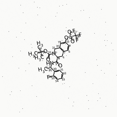 C[C@@H](NC(=O)[C@@H]1Cc2ccc(OS(=O)(=O)C(F)(F)F)cc2CN1C(=O)OC(C)(C)C)c1ccccc1F